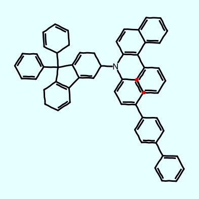 C1=CCC(C2(c3ccccc3)C3=CCC(N(c4ccc(-c5ccc(-c6ccccc6)cc5)cc4)c4ccc5ccccc5c4-c4ccccc4)C=C3C3=C2CCC=C3)C=C1